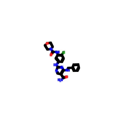 NC(=O)c1cnc(Nc2ccc(Cl)c(NC(=O)N3CCOCC3)c2)nc1NCc1ccccc1